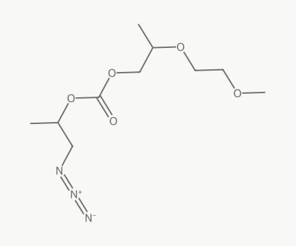 COCCOC(C)COC(=O)OC(C)CN=[N+]=[N-]